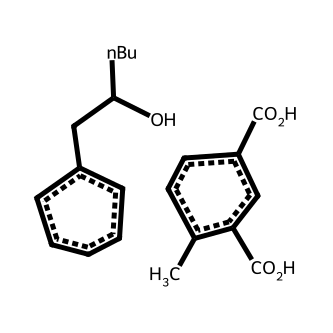 CCCCC(O)Cc1ccccc1.Cc1ccc(C(=O)O)cc1C(=O)O